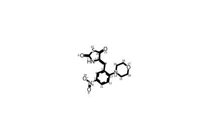 O=C1NC(=Cc2cc([N+](=O)[O-])ccc2N2CCOCC2)C(=O)S1